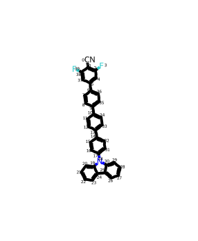 N#Cc1c(F)cc(-c2ccc(-c3ccc(-c4ccc(-n5c6ccccc6c6ccccc65)cc4)cc3)cc2)cc1F